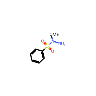 CON(N)S(=O)(=O)c1ccccc1